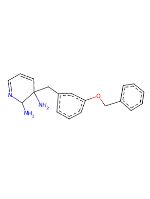 NC1N=CC=CC1(N)Cc1cccc(OCc2ccccc2)c1